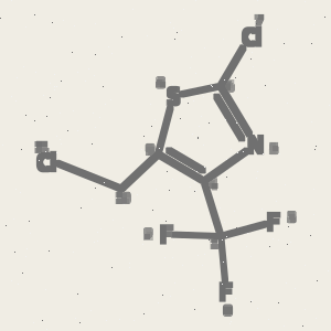 FC(F)(F)c1nc(Cl)sc1CCl